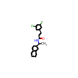 CC(NC(=O)C=Cc1cc(F)cc(F)c1)c1ccc2ccccc2c1